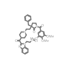 CCOCCn1c(C(=O)C2CCN(CCC3(Cc4ccccc4)CCN(C(=O)c4cc(OC)c(OC)c(OC)c4)C3=O)CC2)nc2ccccc21